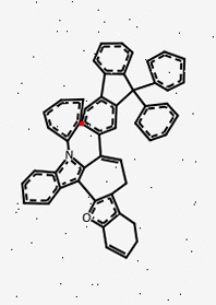 C1=Cc2oc3c(c2CC1)CC=C(c1ccc2c(c1)C(c1ccccc1)(c1ccccc1)c1ccccc1-2)c1c-3c2ccccc2n1-c1ccccc1